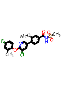 COc1cc(C(=O)NS(C)(=O)=O)ccc1-c1cnc(Oc2ccc(F)cc2C)c(Cl)c1